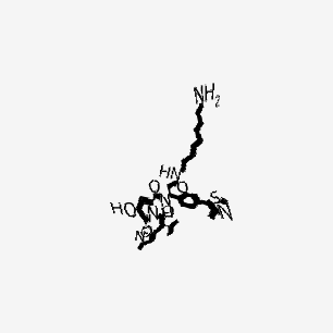 Cc1cc([C@H](C(=O)N2C[C@H](O)C[C@H]2C(=O)N[C@@H](CC(=O)NCCCCCCCCCN)c2ccc(-c3scnc3C)cc2)C(C)C)on1